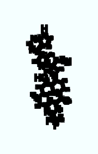 CC1C(c2ncnc3[nH]ccc23)C=NN1C1(CC#N)CN(C2CCN(C(=O)c3cc(CN(C)CCCO)nc(C(F)(F)F)n3)CC2)C1